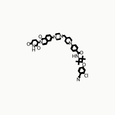 CC1(C)[C@H](NC(=O)c2ccc(N3CCC(CN4CCN(c5ccc6c(=O)n(C7CCC(=O)NC7=O)ccc6c5)CC4)CC3)cc2)C(C)(C)[C@H]1Oc1ccc(C#N)c(Cl)c1